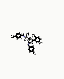 O=C(N=C(N/N=C/c1ccc(Cl)cc1)N/N=C/c1ccc(Cl)cc1)c1cc(Cl)ccc1Cl